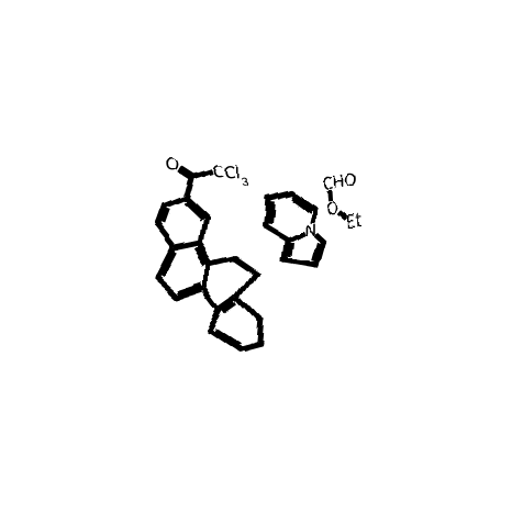 CCOC=O.O=C(c1ccc2ccc3c(c2c1)CCC1=C3C=CCC1)C(Cl)(Cl)Cl.c1ccn2cccc2c1